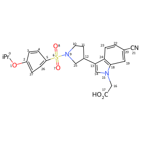 CC(C)Oc1ccc(S(=O)(=O)N2CCC(c3cn(CC(=O)O)c4cc(C#N)ccc34)C2)cc1